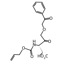 C=CCOC(=O)N[C@@H](CC(=O)O)C(=O)COCC(=O)c1ccccc1